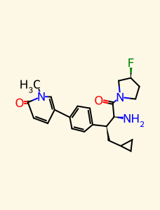 Cn1cc(-c2ccc([C@H](CC3CC3)[C@H](N)C(=O)N3CC[C@H](F)C3)cc2)ccc1=O